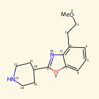 COCCc1cccc2oc(C3CCNCC3)nc12